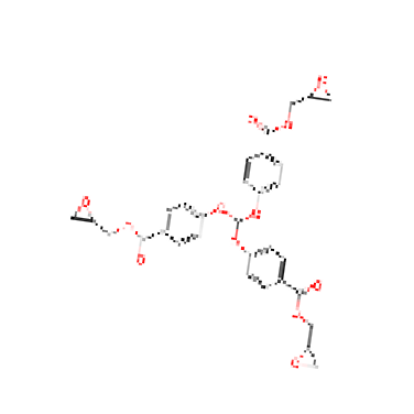 O=C(OCC1CO1)c1ccc(OC(Oc2ccc(C(=O)OCC3CO3)cc2)Oc2ccc(C(=O)OCC3CO3)cc2)cc1